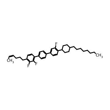 C/C=C\CCCc1ccc(-c2ccc(-c3ccc(C4CCC(CCCCCCCC)CC4)c(F)c3)cc2)c(F)c1F